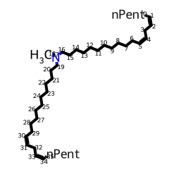 CCCCC/C=C\C/C=C\CCCCCCCCCCCN(C)CCCCCCCCCCC/C=C\C/C=C\CCCCC